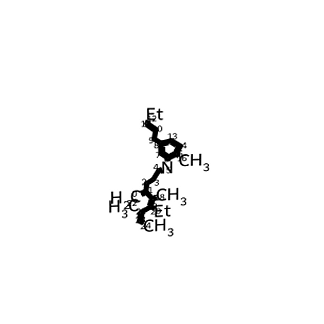 C=C(CC/C=N/c1cc(C/C=C/CC)ccc1C)/C(C)=C(CC)\C(C)=C/C